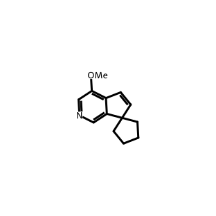 COc1cncc2c1C=CC21CCCC1